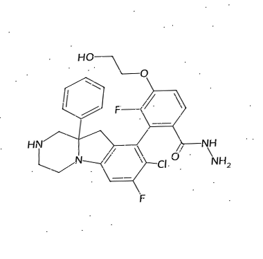 NNC(=O)c1ccc(OCCO)c(F)c1-c1c(Cl)c(F)cc2c1CC1(c3ccccc3)CNCCN21